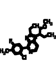 CCc1nc2c(-c3cc(F)c(C)cc3Cl)nccc2n1C(CC)COC